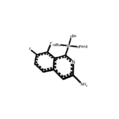 CCCC[CH2][Sn]([CH2]CCC)([CH2]CCC)[c]1nc(N)cc2ccc(F)c(F)c12